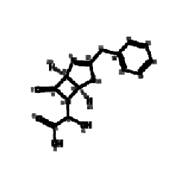 O=C(O)C(O)N1C(=O)[C@H]2N=C(Cc3ccccc3)S[C@H]21